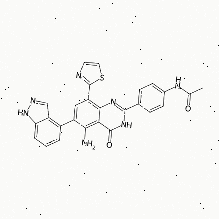 CC(=O)Nc1ccc(-c2nc3c(-c4nccs4)cc(-c4cccc5[nH]ncc45)c(N)c3c(=O)[nH]2)cc1